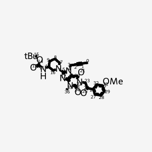 CC#CCn1c(N2CCCC(NC(=O)OC(C)(C)C)C2)nc2c1c(=O)n(CC(=O)c1cccc(OC)c1)c(=O)n2C